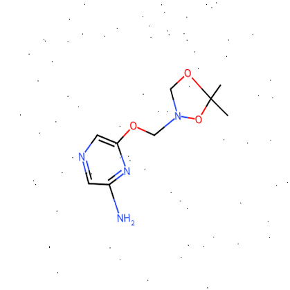 CC1(C)OCN(COc2cncc(N)n2)O1